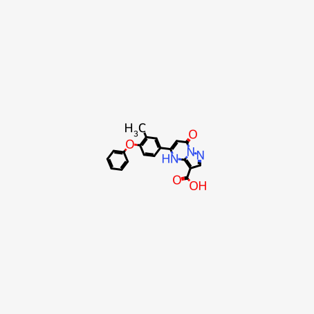 Cc1cc(-c2cc(=O)n3ncc(C(=O)O)c3[nH]2)ccc1Oc1ccccc1